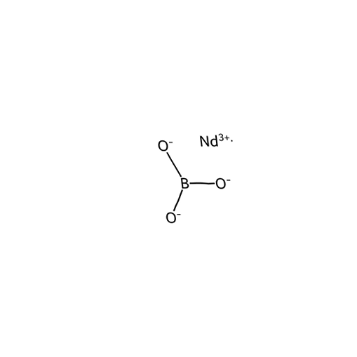 [Nd+3].[O-]B([O-])[O-]